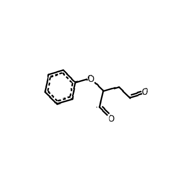 O=[C]C(CC=O)Oc1ccccc1